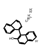 Oc1ccc2ccccc2c1-c1cccc2ccccc12.[Al+3].[H-].[H-].[H-].[H-].[Li+]